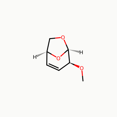 CO[C@H]1C=C[C@H]2CO[C@@H]1O2